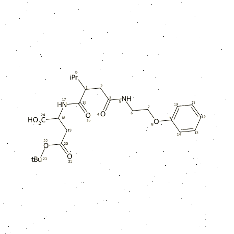 CC(C)C(CC(=O)NCCOc1ccccc1)C(=O)NC(CC(=O)OC(C)(C)C)C(=O)O